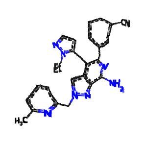 CCn1nccc1-c1c(-c2cccc(C#N)c2)nc(N)c2nn(Cc3cccc(C)n3)cc12